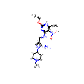 CCOc1nc(C)c([N+](=O)[O-])c(NCC2=CN(C3CCN(C)CC3)[C@H]2N)n1